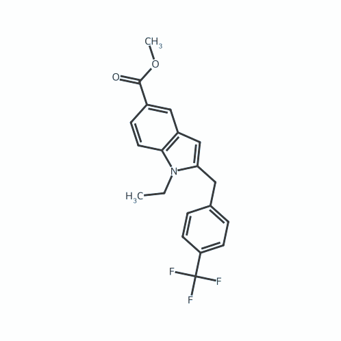 CCn1c(Cc2ccc(C(F)(F)F)cc2)cc2cc(C(=O)OC)ccc21